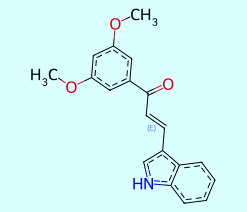 COc1cc(OC)cc(C(=O)/C=C/c2c[nH]c3ccccc23)c1